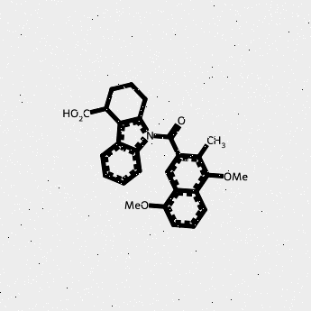 COc1cccc2c(OC)c(C)c(C(=O)n3c4c(c5ccccc53)C(C(=O)O)CCC4)cc12